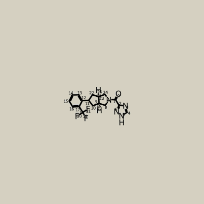 O=C(c1nc[nH]n1)N1C[C@H]2CC(c3ccccc3C(F)(F)F)C[C@H]2C1